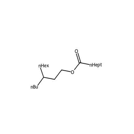 CCCCCCCC(=O)OCCC(CCCC)CCCCCC